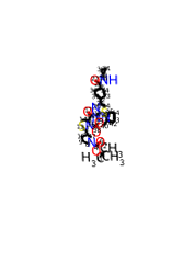 CC(C)(C)OC(=O)N1CCCC(C2SCC(C(=O)Nc3nc(-c4ccc(C(=O)NC5CC5)cc4)cs3)N2C(=O)OCc2ccccc2)C1